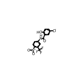 O=C(Nc1ccc([N+](=O)[O-])c(C(F)(F)F)c1)c1cc(Cl)ccc1O